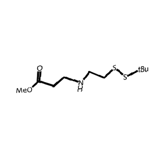 COC(=O)CCNCCSSC(C)(C)C